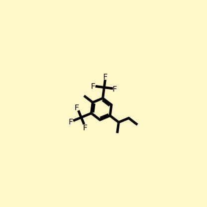 CCC(C)c1cc(C(F)(F)F)c(C)c(C(F)(F)F)c1